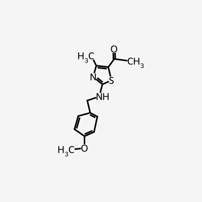 COc1ccc(CNc2nc(C)c(C(C)=O)s2)cc1